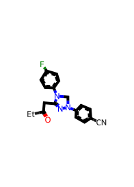 CCC(=O)CC1=NN(c2ccc(C#N)cc2)CN1c1ccc(F)cc1